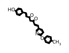 Cc1ccc(Oc2ccc(/C=C/C(=O)CC(=O)/C=C/c3ccc(O)cc3)cn2)cc1